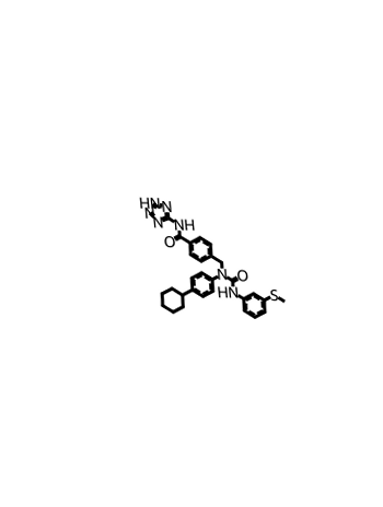 CSc1cccc(NC(=O)N(Cc2ccc(C(=O)Nc3nn[nH]n3)cc2)c2ccc(C3CCCCC3)cc2)c1